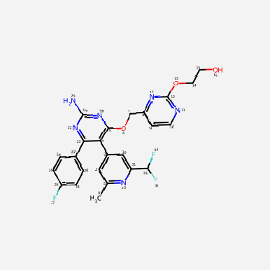 Cc1cc(-c2c(OCc3ccnc(OCCO)n3)nc(N)nc2-c2ccc(F)cc2)cc(C(F)F)n1